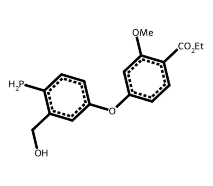 CCOC(=O)c1ccc(Oc2ccc(P)c(CO)c2)cc1OC